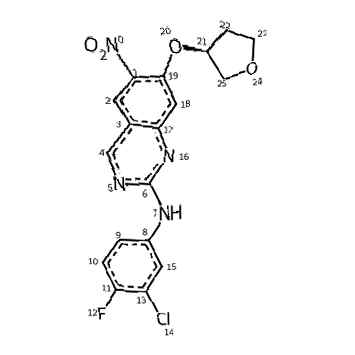 O=[N+]([O-])c1cc2cnc(Nc3ccc(F)c(Cl)c3)nc2cc1O[C@H]1CCOC1